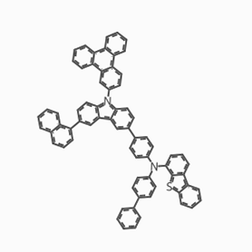 c1ccc(-c2ccc(N(c3ccc(-c4ccc5c(c4)c4cc(-c6cccc7ccccc67)ccc4n5-c4ccc5c6ccccc6c6ccccc6c5c4)cc3)c3cccc4c3sc3ccccc34)cc2)cc1